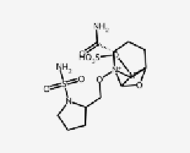 NC(=O)[C@@H]1CCC23C[N+]1(OCC1CCCN1S(N)(=O)=O)C(O2)N3OS(=O)(=O)O